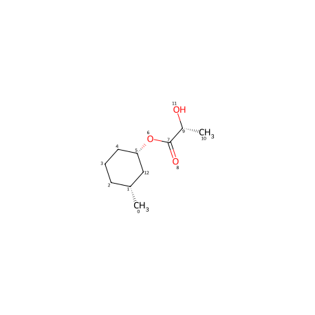 C[C@@H]1CCC[C@H](OC(=O)[C@@H](C)O)C1